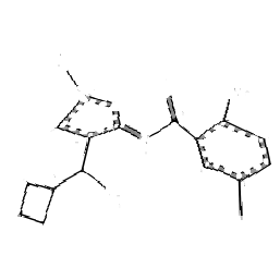 COc1ccc(Cl)cc1C(=O)/N=c1\sn(C(C)(C)C)cc1C(O)C1CCC1